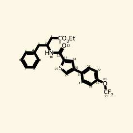 CCOC(=O)CC(Cc1ccccc1)NC(=O)c1cc(-c2ccc(OC(F)(F)F)cc2)cs1